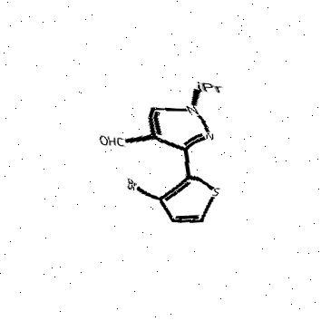 CC(C)n1cc(C=O)c(-c2sccc2Br)n1